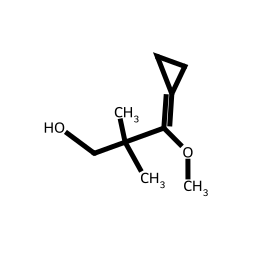 COC(=C1CC1)C(C)(C)CO